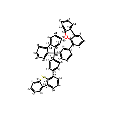 c1cc(-c2cccc3c2oc2ccccc23)cc(C2(c3ccc(-c4cccc5c4sc4ccccc45)cc3)c3ccccc3-c3ccccc32)c1